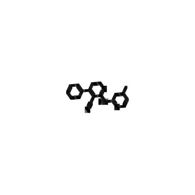 Cc1ccnc(Nc2nccc(-c3ccccc3)c2C#N)c1